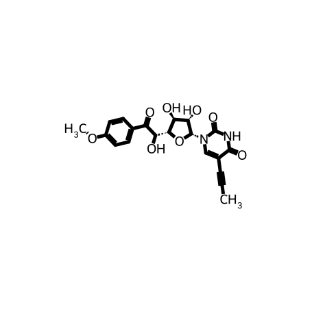 CC#Cc1cn([C@@H]2O[C@H](C(O)C(=O)c3ccc(OC)cc3)[C@@H](O)[C@@H]2O)c(=O)[nH]c1=O